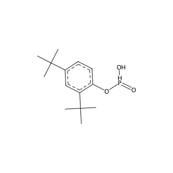 CC(C)(C)c1ccc(O[PH](=O)O)c(C(C)(C)C)c1